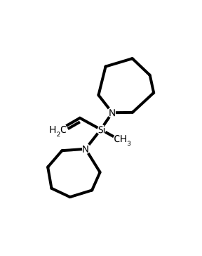 C=C[Si](C)(N1CCCCCC1)N1CCCCCC1